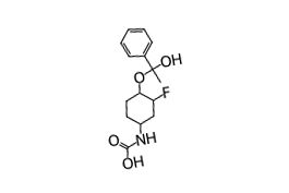 CC(O)(OC1CCC(NC(=O)O)CC1F)c1ccccc1